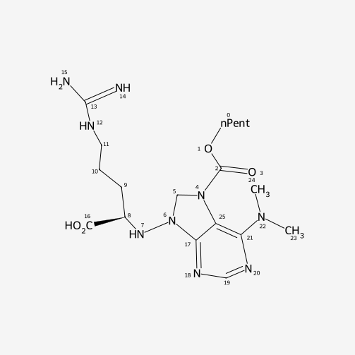 CCCCCOC(=O)N1CN(N[C@H](CCCNC(=N)N)C(=O)O)c2ncnc(N(C)C)c21